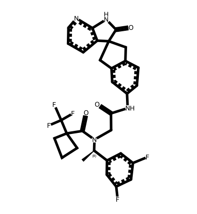 C[C@H](c1cc(F)cc(F)c1)N(CC(=O)Nc1ccc2c(c1)CC1(C2)C(=O)Nc2ncccc21)C(=O)C1(C(F)(F)F)CCC1